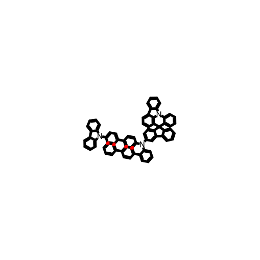 c1ccc(-c2ccc(-c3ccccc3N(c3ccc(-c4ccc(-n5c6ccccc6c6ccccc65)cc4)cc3)c3ccc4c(c3)-c3ccccc3C43c4ccccc4-n4c5ccccc5c5cccc3c54)cc2)cc1